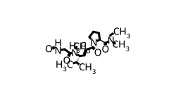 CCN(C)C(=O)[C@@H]1CCCN1C(=O)/C(C)=C/[C@H](C(C)C)N(C)C(=O)CNC=O